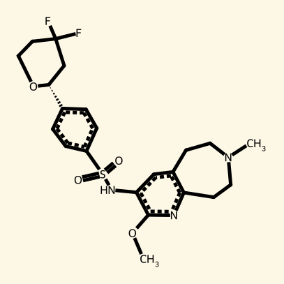 COc1nc2c(cc1NS(=O)(=O)c1ccc([C@H]3CC(F)(F)CCO3)cc1)CCN(C)CC2